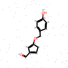 O=CC1=CCC(OCc2ccc(O)cc2)=C1